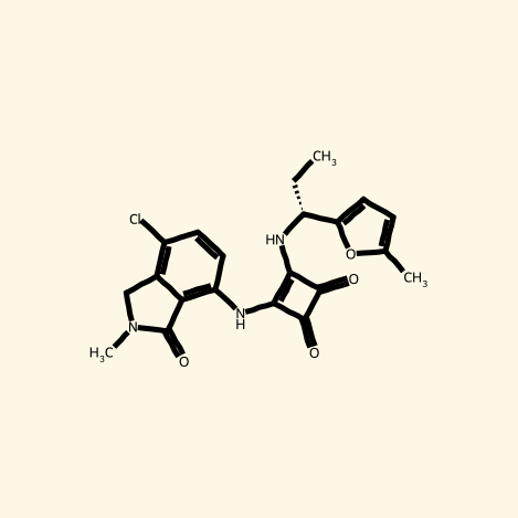 CC[C@@H](Nc1c(Nc2ccc(Cl)c3c2C(=O)N(C)C3)c(=O)c1=O)c1ccc(C)o1